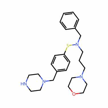 c1ccc(CN(CCCN2CCOCC2)Sc2ccc(CN3CCNCC3)cc2)cc1